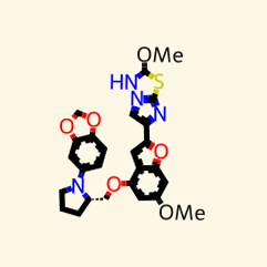 COc1cc(OC[C@@H]2CCCN2c2ccc3c(c2)OCO3)c2cc(-c3cn4c(n3)SC(OC)N4)oc2c1